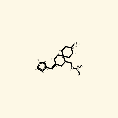 C[SiH](C)OCC1CC(=Cc2ccoc2)CCC12CCC(C(C)(C)C)CC2